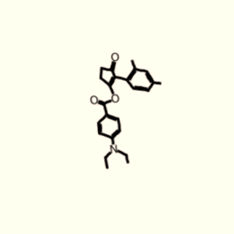 CCN(CC)c1ccc(C(=O)OC2=C(c3ccc(C)cc3C)C(=O)CC2)cc1